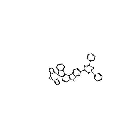 c1ccc(-c2nc(-c3ccccc3)nc(-c3ccc4c(c3)oc3ccc5c(c34)-c3ccccc3C53c4ccccc4Oc4ccccc43)n2)cc1